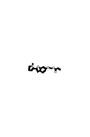 C=CC(=O)OCOc1ccc2cc(-c3cccn3C)oc2c1